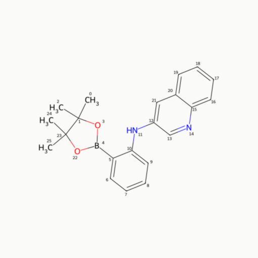 CC1(C)OB(c2ccccc2Nc2cnc3ccccc3c2)OC1(C)C